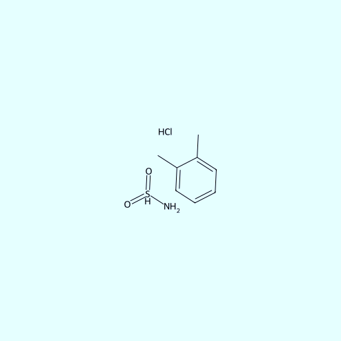 Cc1ccccc1C.Cl.N[SH](=O)=O